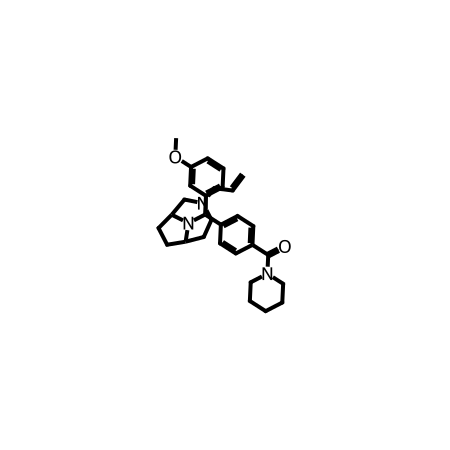 C=CCN1CCC2CCC(C1)N2C(c1ccc(C(=O)N2CCCCC2)cc1)c1cccc(OC)c1